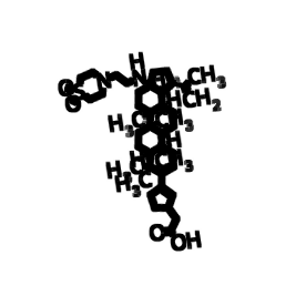 C=C(C)[C@@H]1CC[C@]2(NCCN3CCS(=O)(=O)CC3)CC[C@]3(C)[C@H](CC[C@@H]4[C@@]5(C)CC=C(C6=CC(CC(=O)O)CC6)C(C)(C)[C@@H]5CC[C@]43C)[C@@H]12